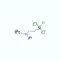 CC(C)N(CC[Si](Cl)(Cl)Cl)C(C)C